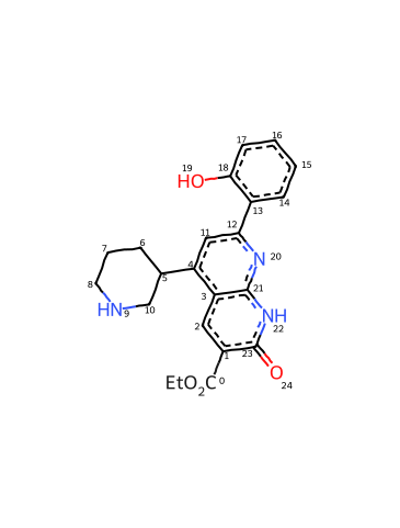 CCOC(=O)c1cc2c(C3CCCNC3)cc(-c3ccccc3O)nc2[nH]c1=O